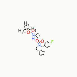 CC(C)(C)OC(=O)N[C@H]1CC[C@@H]1OC(=O)N1CCc2ccccc2[C@@H]1c1ccc(F)cc1